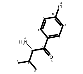 CC(C)[C@H](N)C(=O)c1ccc(Cl)cc1